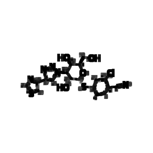 N#Cc1ccc(S[C@H]2O[C@H](CO)[C@H](O)[C@H](n3cc(-c4cscn4)nn3)[C@H]2O)cc1Cl